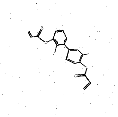 C=CC(=O)Oc1ccc(-c2cccc(OC(=O)C=C)c2F)cc1F